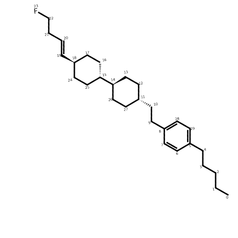 CCCCCc1ccc(CC[C@H]2CC[C@H]([C@H]3CC[C@H](C=CCCF)CC3)CC2)cc1